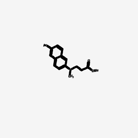 COC(=O)CCN(C)c1ccc2cc(C(C)=O)ccc2c1